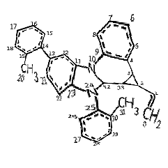 C=CC1C2c3ccccc3N3c4cc(-c5ccccc5C)ccc4N(c4ccccc4C)C3C12